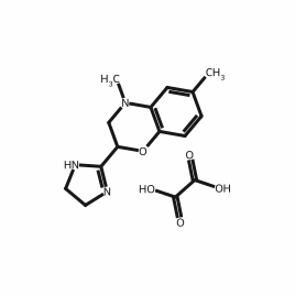 Cc1ccc2c(c1)N(C)CC(C1=NCCN1)O2.O=C(O)C(=O)O